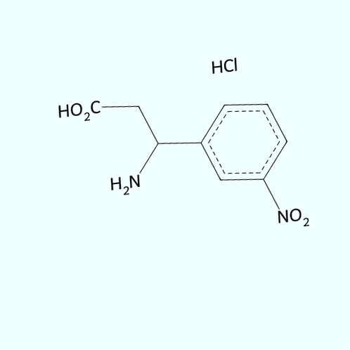 Cl.NC(CC(=O)O)c1cccc([N+](=O)[O-])c1